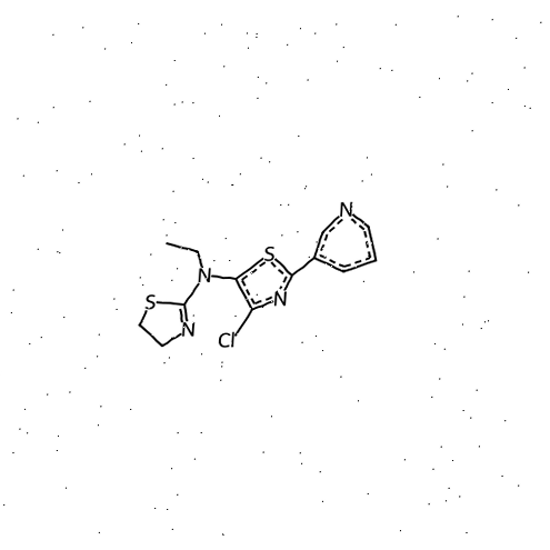 CCN(C1=NCCS1)c1sc(-c2cccnc2)nc1Cl